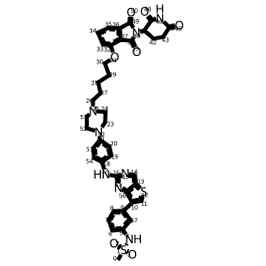 CS(=O)(=O)Nc1cccc(-c2csc3cnc(Nc4ccc(N5CCN(CCCCCOc6cccc7c6C(=O)N(C6CCC(=O)NC6=O)C7=O)CC5)cc4)nc23)c1